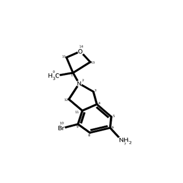 CC1(N2Cc3cc(N)cc(Br)c3C2)COC1